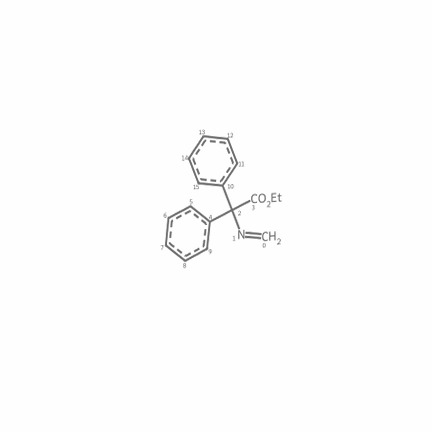 C=NC(C(=O)OCC)(c1ccccc1)c1ccccc1